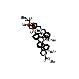 COc1ccc(CN(Cc2ccc(OC)cc2)S(=O)(=O)c2c(S(=O)(=O)C3CCN(C(=O)OC(C)(C)C)CC3)ccc(-c3ccc(C4CCN(C(=O)OC(C)(C)C)CC4)cc3)c2-c2nnnn2Cc2ccc(OC)cc2)cc1